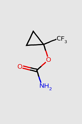 NC(=O)OC1(C(F)(F)F)CC1